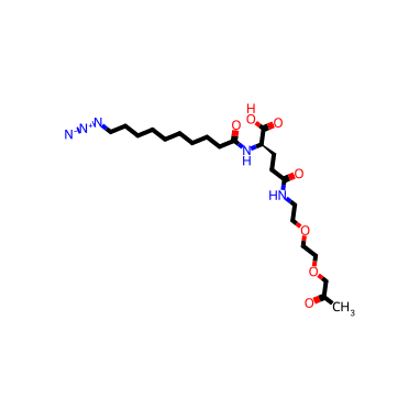 CC(=O)COCCOCCNC(=O)CC[C@@H](NC(=O)CCCCCCCCCN=[N+]=[N-])C(=O)O